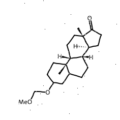 COCOC1CC[C@@]2(C)C(CC[C@@H]3[C@H]2CC[C@]2(C)C(=O)CC[C@@H]32)C1